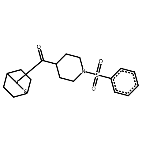 O=C(C1CCN(S(=O)(=O)c2ccccc2)CC1)N1CC2CCC(CC2)C1